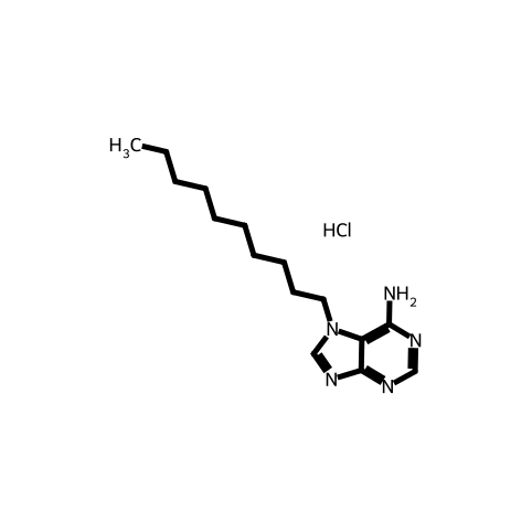 CCCCCCCCCCn1cnc2ncnc(N)c21.Cl